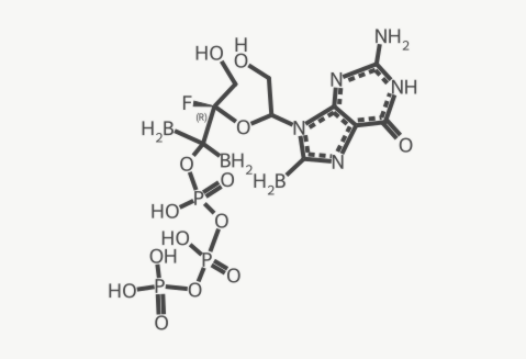 Bc1nc2c(=O)[nH]c(N)nc2n1C(CO)O[C@@](F)(CO)C(B)(B)OP(=O)(O)OP(=O)(O)OP(=O)(O)O